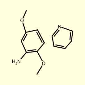 COc1ccc(OC)c(N)c1.c1ccncc1